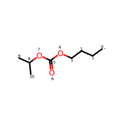 [CH2]CCCOC(=O)OC(C)C